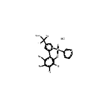 Cl.[2H]c1c([2H])c([2H])c(-c2cc(C([2H])([2H])NC)cn2S(=O)(=O)c2cccnc2)c([2H])c1[2H]